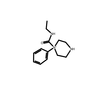 CCNC(=O)[N+]1(c2[c]cccc2)CCNCC1